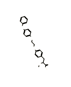 COC(Cc1ccc(OCCOc2ccc(Oc3ccccc3)cc2)cc1)C(=O)O